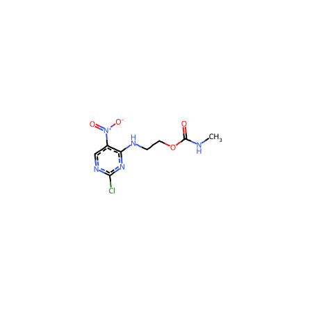 CNC(=O)OCCNc1nc(Cl)ncc1[N+](=O)[O-]